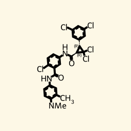 CNc1ccc(NC(=O)c2cc(NC(=O)[C@H]3[C@H](c4cc(Cl)cc(Cl)c4)C3(Cl)Cl)ccc2Cl)cc1C